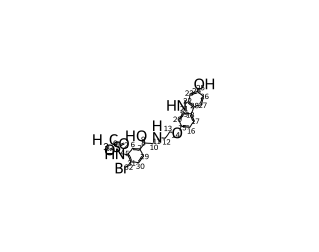 CS(=O)(=O)Nc1cc([C@H](O)CNCCOc2ccc3c(c2)[nH]c2cc(O)ccc23)ccc1Br